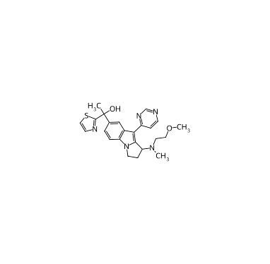 COCCN(C)C1CCn2c1c(-c1ccncn1)c1cc(C(C)(O)c3nccs3)ccc12